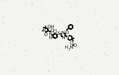 CN1C(=O)C(C(=O)Nc2cccc(Sc3cnc(N4CCC(C)(COC(N)=O)CC4)c(OCc4ccccc4)n3)c2Cl)=C(O)C1(C)C